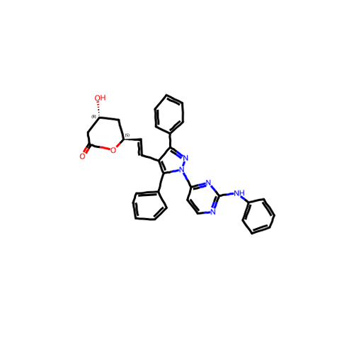 O=C1C[C@H](O)C[C@@H](C=Cc2c(-c3ccccc3)nn(-c3ccnc(Nc4ccccc4)n3)c2-c2ccccc2)O1